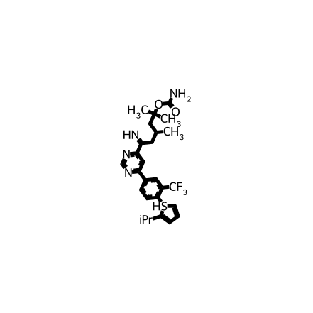 CC(CC(=N)c1cc(-c2ccc([SH]3C=CC=C3C(C)C)c(C(F)(F)F)c2)ncn1)CC(C)(C)OC(N)=O